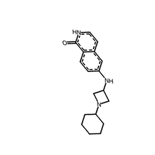 O=c1[nH]ccc2cc(NC3CN(C4CCCCC4)C3)ccc12